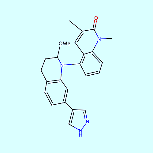 COC1CCc2ccc(-c3cn[nH]c3)cc2N1c1cccc2c1cc(C)c(=O)n2C